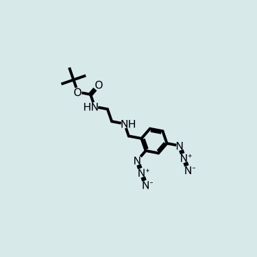 CC(C)(C)OC(=O)NCCNCc1ccc(N=[N+]=[N-])cc1N=[N+]=[N-]